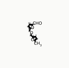 Cc1ccc(COCc2ccc(C=O)o2)o1